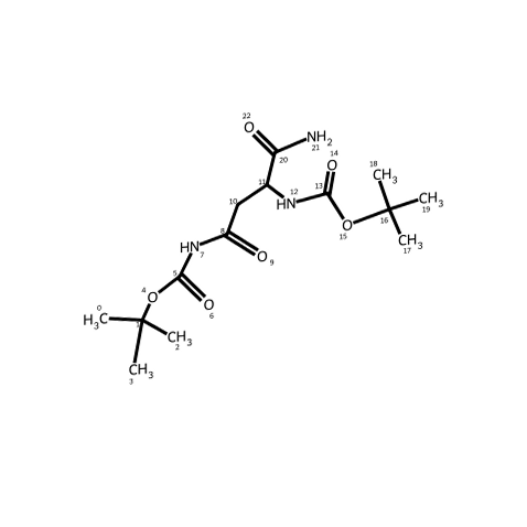 CC(C)(C)OC(=O)NC(=O)CC(NC(=O)OC(C)(C)C)C(N)=O